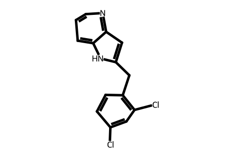 Clc1ccc(Cc2cc3ncccc3[nH]2)c(Cl)c1